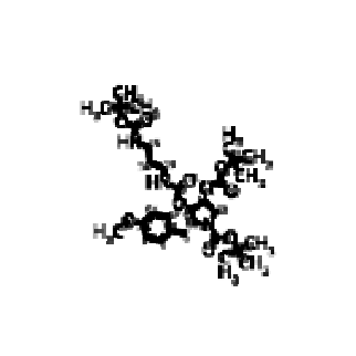 COc1ccc(C[C@@H]2[C@H](OC(=O)NCCCNC(=O)OC(C)(C)C)[C@@H](OC(=O)OC(C)(C)C)CN2C(=O)OC(C)(C)C)cc1